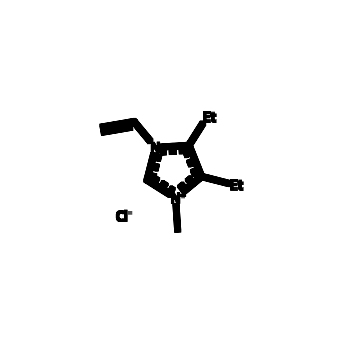 C=Cn1c[n+](C)c(CC)c1CC.[Cl-]